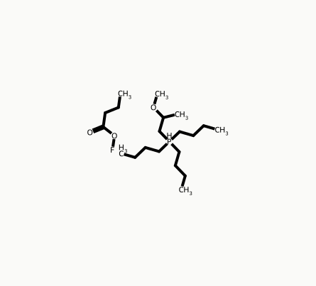 CCCC(=O)OF.CCCC[PH](CCCC)(CCCC)CC(C)OC